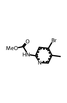 COC(=O)Nc1cc(Br)c(C)cn1